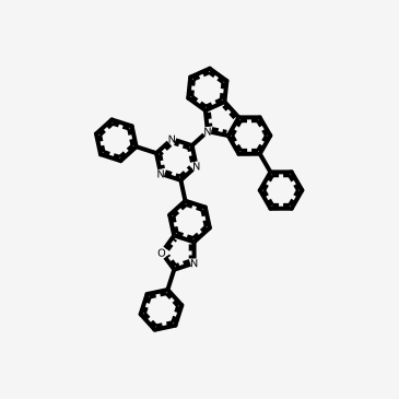 c1ccc(-c2ccc3c4ccccc4n(-c4nc(-c5ccccc5)nc(-c5ccc6nc(-c7ccccc7)oc6c5)n4)c3c2)cc1